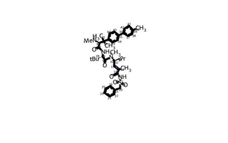 CN[C@H](C(=O)N[C@H](C(=O)N(C)[C@H](/C=C(\C)C(=O)NS(=O)(=O)Cc1ccccc1)C(C)C)C(C)(C)C)C(C)(C)c1ccc(-c2ccc(C)cc2)cc1